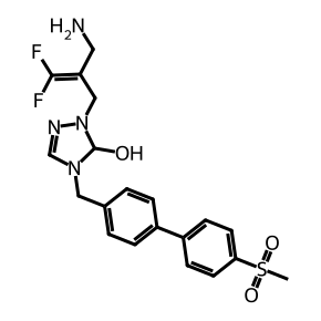 CS(=O)(=O)c1ccc(-c2ccc(CN3C=NN(CC(CN)=C(F)F)C3O)cc2)cc1